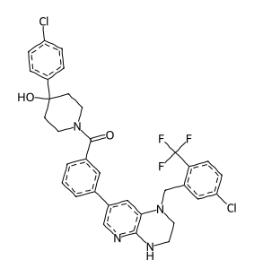 O=C(c1cccc(-c2cnc3c(c2)N(Cc2cc(Cl)ccc2C(F)(F)F)CCN3)c1)N1CCC(O)(c2ccc(Cl)cc2)CC1